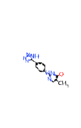 Cc1cnc(-c2ccc(-c3nnn[nH]3)cc2)[nH]c1=O